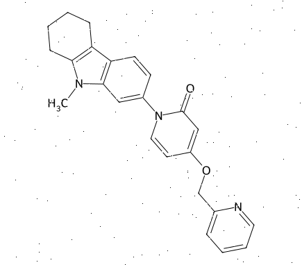 Cn1c2c(c3ccc(-n4ccc(OCc5ccccn5)cc4=O)cc31)CCCC2